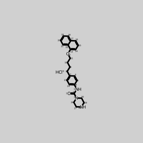 Cl.O=C(Nc1ccc(CCCCOc2cccc3ccccc23)cc1)N1CCNCC1